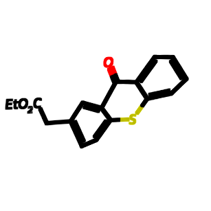 CCOC(=O)Cc1ccc2sc3ccccc3c(=O)c2c1